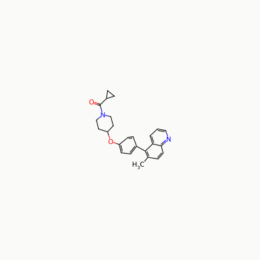 Cc1ccc2ncccc2c1-c1ccc(OC2CCN(C(=O)C3CC3)CC2)cc1